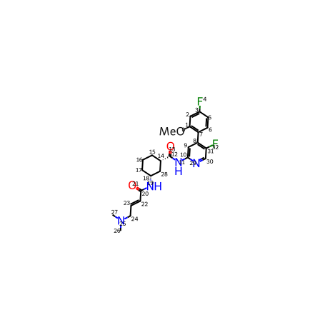 COc1cc(F)ccc1-c1cc(NC(=O)[C@H]2CCC[C@@H](NC(=O)/C=C/CN(C)C)C2)ncc1F